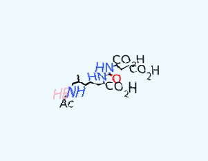 CC(=O)BNCC(C)CCC[C@H](NC(=O)N[C@@H](CCC(=O)O)C(=O)O)C(=O)O